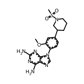 COc1cc(C2CCCN(S(C)(=O)=O)C2)ccc1-n1cnc2c(N)nc(N)nc21